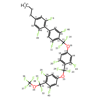 CCCc1cc(F)c(-c2cc(F)c(C(F)(F)Oc3cc(F)c(C(F)(F)Oc4cc(F)c(C(F)(F)OC(F)(F)F)c(F)c4)c(F)c3)c(F)c2)c(F)c1